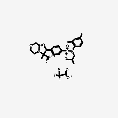 Cc1ccc(N(CC(C)C)S(=O)(=O)c2ccc(C(O)C(C)(C(=O)O)N3CCOCC3)cc2)c(C)c1.O=C(O)C(F)(F)F